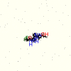 CCCC(O)c1cc(C)c(Nc2ncccc2-c2cc(NC(=O)[C@H]3CC3(F)F)ncn2)cn1